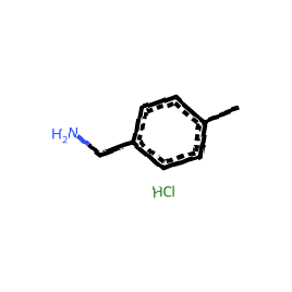 Cc1ccc(CN)cc1.Cl